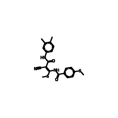 CSC(NC(=O)c1ccc(SC)cc1)=C(C#N)C(=O)Nc1ccc(C)c(C)c1